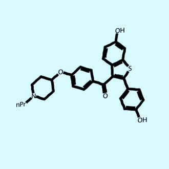 CCCN1CCC(Oc2ccc(C(=O)c3c(-c4ccc(O)cc4)sc4cc(O)ccc34)cc2)CC1